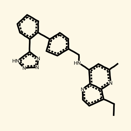 CCc1ccnc2c(NCc3ccc(-c4ccccc4-c4nnn[nH]4)cc3)cc(C)nc12